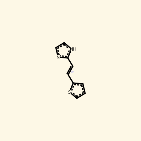 C(=C\c1cccs1)/c1ncc[nH]1